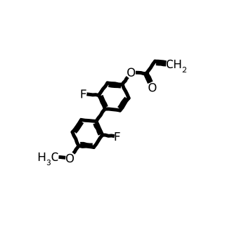 C=CC(=O)Oc1ccc(-c2ccc(OC)cc2F)c(F)c1